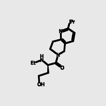 CCN[C@H](CCO)C(=O)N1CCc2nc(C(C)C)ccc2C1